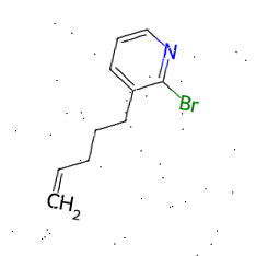 C=CCCCc1cccnc1Br